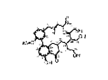 COc1ccc(CNCCN(C)C)cc1-c1ccc(O)c2c1CC(CC(CCO)C(CO)C(=O)CC(C)=O)CC2=O